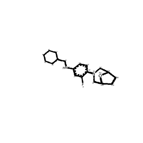 Fc1cc(NCC2CCCCC2)ccc1N1CC2CCC(C1)O2